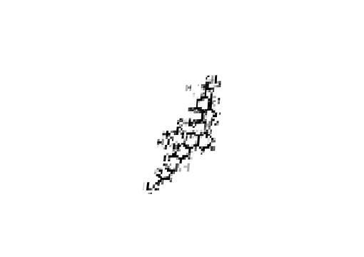 Cc1cc(Nc2cc(-c3ccnc(-n4ncc5cc(C(C)(C)C)cc(F)c5c4=O)c3COP(O)O)cn(C)c2=O)no1